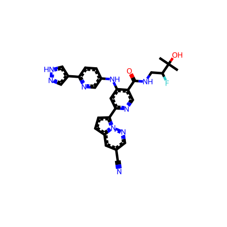 CC(C)(O)C(F)CNC(=O)c1cnc(-c2ccc3cc(C#N)cnn23)cc1Nc1ccc(-c2cn[nH]c2)nc1